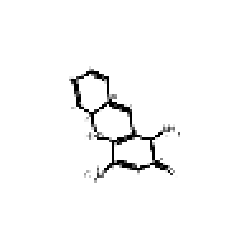 NC1C(=O)C=C([N+](=O)[O-])C2=C1C=C1C=CC=CC1N2